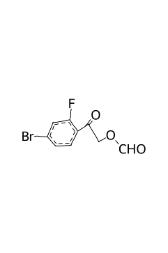 O=COCC(=O)c1ccc(Br)cc1F